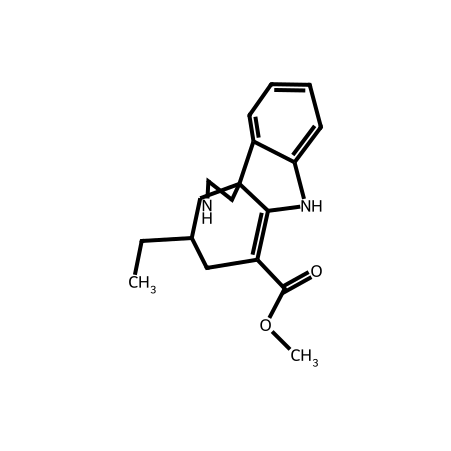 CCC1CC(C(=O)OC)=C2Nc3ccccc3C23CCNC13